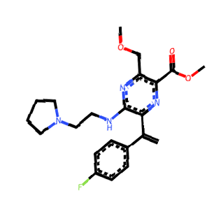 C=C(c1ccc(F)cc1)c1nc(C(=O)OC)c(COC)nc1NCCN1CCCC1